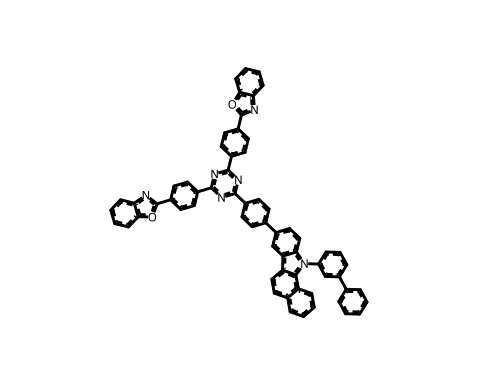 c1ccc(-c2cccc(-n3c4ccc(-c5ccc(-c6nc(-c7ccc(-c8nc9ccccc9o8)cc7)nc(-c7ccc(-c8nc9ccccc9o8)cc7)n6)cc5)cc4c4ccc5ccccc5c43)c2)cc1